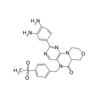 CS(=O)(=O)c1ccc(CN2C(=O)C3COCCN3c3nc(-c4ccc(N)c(N)c4)ncc32)cc1